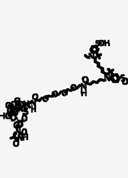 CCN1/C(=C/C=C/C=C/C2=[N+](CCCCCC(=O)NCCOCCOCCOCCOCCC(=O)NCC(C)(C)SSCO[C@@H]3C[C@H](n4cc(C)c(=O)[nH]c4=O)O[C@@H]3COP(=O)(O)OP(=O)(O)OP(=O)(O)O)c3ccc(SO)cc3C2(C)C)C(C)(C)c2cc(SO)ccc21